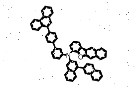 c1cc(-c2ccc(-c3cc4ccccc4c4ccccc34)cc2)cc(N(c2cc(-c3ccc4ccccc4c3)c3ccccc3c2)c2cccc3c2oc2cc4ccccc4cc23)c1